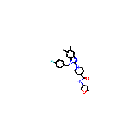 Cc1cc2nc(N3CCC(C(=O)NC4CCOC4)CC3)n(Cc3ccc(F)cc3)c2cc1C